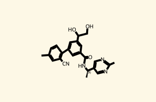 Cc1ccc(-c2cc(C(=O)N[C@H](C)c3cnc(C)nc3)cc(C(O)CO)c2)c(C#N)c1